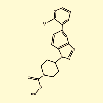 Cc1ncccc1-c1ccc2c(c1)nnn2C1CCN(C(=O)OC(C)(C)C)CC1